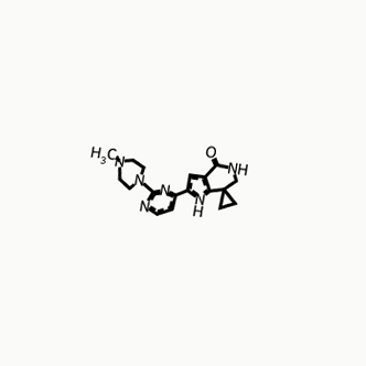 CN1CCN(c2nccc(-c3cc4c([nH]3)C3(CC3)CNC4=O)n2)CC1